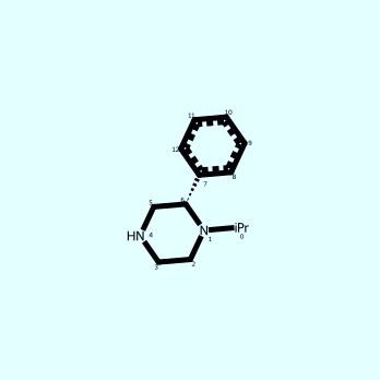 CC(C)N1CCNC[C@@H]1c1ccccc1